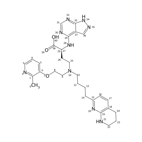 Cc1ncccc1OCCN(CCCCc1ccc2c(n1)NCCC2)CC[C@H](Nc1ncnc2[nH]ncc12)C(=O)O